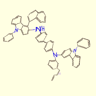 C=C/C=C\c1cccc(N(c2ccc(-c3ccc(Nc4ccc5c(c4-c4cccc6ccccc46)c4ccccc4n5-c4ccccc4)cc3)cc2)c2ccc3c(c2)c2ccccc2n3-c2ccccc2)c1